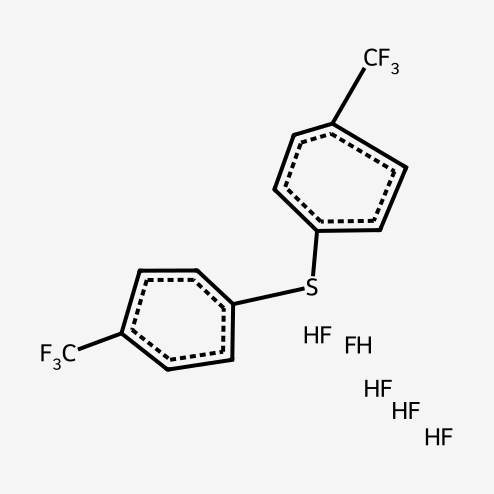 F.F.F.F.F.FC(F)(F)c1ccc(Sc2ccc(C(F)(F)F)cc2)cc1